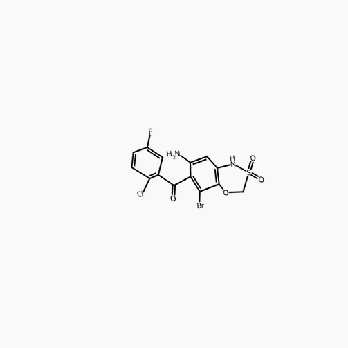 Nc1cc2c(c(Br)c1C(=O)c1cc(F)ccc1Cl)OCS(=O)(=O)N2